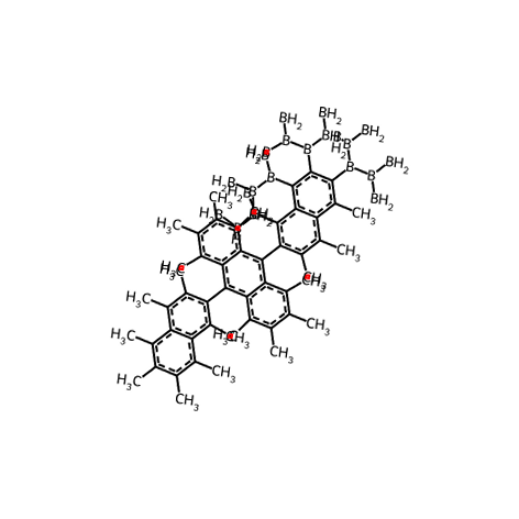 BBB(B(B)B)c1c(B(B(B)B)B(B)B)c(C)c2c(C)c(C)c(-c3c4c(C)c(C)c(C)c(C)c4c(-c4c(C)c(C)c5c(C)c(C)c(C)c(C)c5c4C)c4c(C)c(C)c(C)c(C)c34)c(B(B)BB)c2c1B(B)B(B)B